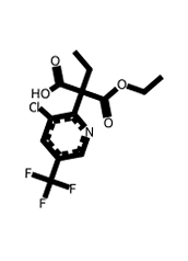 CCOC(=O)C(CC)(C(=O)O)c1ncc(C(F)(F)F)cc1Cl